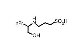 CCC[C@H](CO)NCCCS(=O)(=O)O